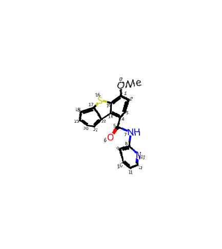 COc1ccc(C(=O)Nc2ccccn2)c2c1sc1ccccc12